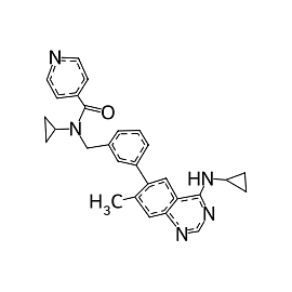 Cc1cc2ncnc(NC3CC3)c2cc1-c1cccc(CN(C(=O)c2ccncc2)C2CC2)c1